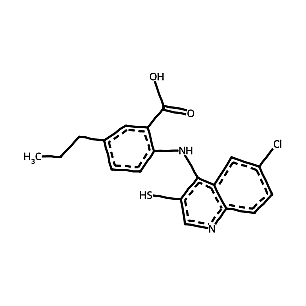 CCCc1ccc(Nc2c(S)cnc3ccc(Cl)cc23)c(C(=O)O)c1